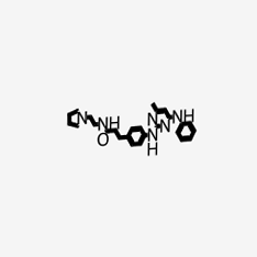 Cc1cc(Nc2ccccc2)nc(Nc2ccc(CCC(=O)NCCN3CCCC3)cc2)n1